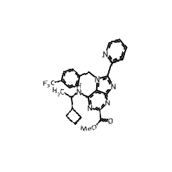 COC(=O)c1nc(NC(C)C2CCC2)c2c(n1)nc(-c1ccccn1)n2Cc1ccc(C(F)(F)F)cc1